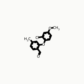 COc1ccc(Oc2cc(C)ccc2C=O)c(Cl)c1